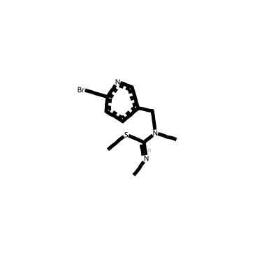 C/N=C(\SC)N(C)Cc1ccc(Br)nc1